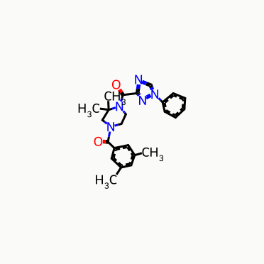 Cc1cc(C)cc(C(=O)N2CCN(C(=O)c3ncn(-c4ccccc4)n3)C(C)(C)C2)c1